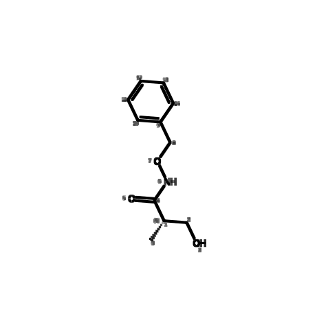 C[C@@H](CO)C(=O)NOCc1ccccc1